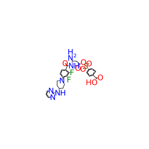 NC(CC(=O)OS(=O)(=O)c1ccc(C(=O)O)cc1)NC(=O)c1ccc(N2CCC(Nc3ncccn3)CC2)c(F)c1F